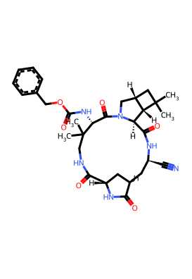 CC1(C)C[C@H]2CN3C(=O)[C@@H](NC(=O)OCc4ccccc4)C(C)(C)CNC(=O)[C@@H]4C[C@H](C[C@H](C#N)NC(=O)[C@@H]3[C@H]21)C(=O)N4